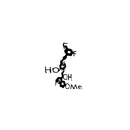 COc1ccc2nccc(C(O)CC[C@@H]3CCN(CC#Cc4cc(F)cc(F)c4)C[C@@H]3CO)c2c1